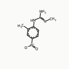 CN=C(N)Nc1ccc([N+](=O)[O-])cc1C